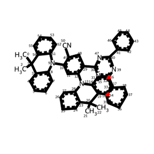 CC1(C)c2ccccc2N(c2cc(N3c4ccccc4C(C)(C)c4ccccc43)c(-c3nc(-c4ccccc4)nc(-c4ccccc4)n3)cc2C#N)c2ccccc21